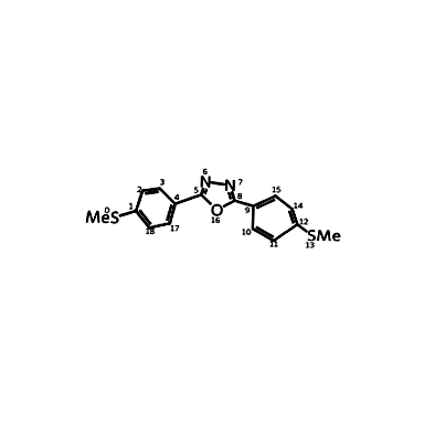 CSc1ccc(-c2nnc(-c3ccc(SC)cc3)o2)cc1